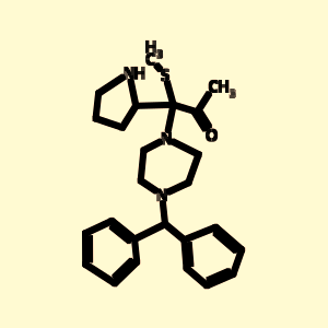 CSC(C(C)=O)(C1CCCN1)N1CCN(C(c2ccccc2)c2ccccc2)CC1